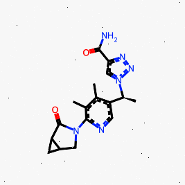 Cc1c([C@H](C)n2cc(C(N)=O)nn2)cnc(N2CC3CC3C2=O)c1C